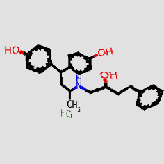 CC(CC(c1ccc(O)cc1)c1ccc(O)cc1)NCC(O)CCc1ccccc1.Cl